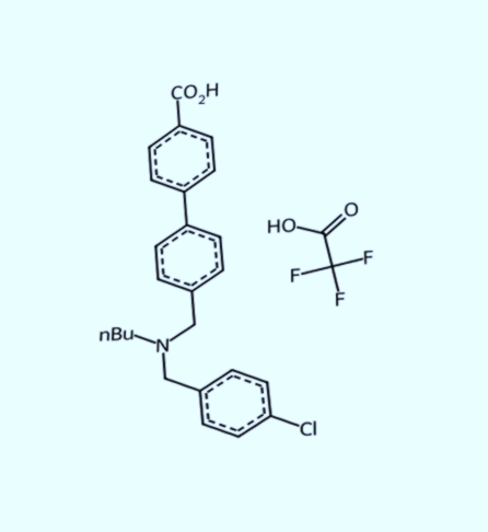 CCCCN(Cc1ccc(Cl)cc1)Cc1ccc(-c2ccc(C(=O)O)cc2)cc1.O=C(O)C(F)(F)F